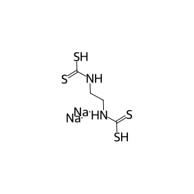 S=C(S)NCCNC(=S)S.[Na].[Na]